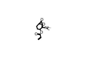 [C-]#[N+]C12CC(CCC1OC(=O)C=C)C(=O)O2